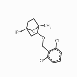 CC(C)[C@@]12CC[C@@](C)(O1)[C@@H](OCc1c(Cl)cccc1Cl)C2